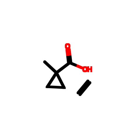 C=C.CC1(C(=O)O)CC1